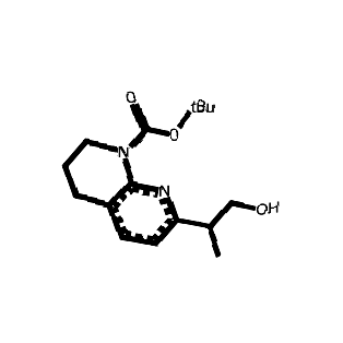 CC(CO)c1ccc2c(n1)N(C(=O)OC(C)(C)C)CCC2